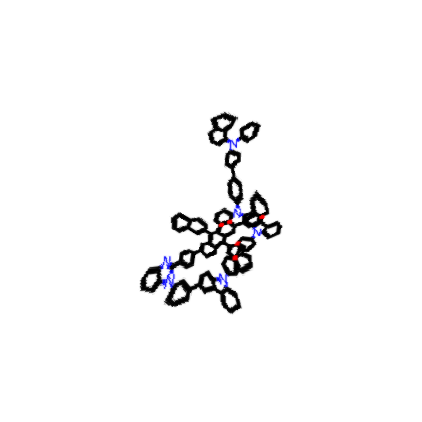 c1ccc(N(c2ccc(-c3ccc(N(c4ccccc4)c4c(-c5ccc6c(-c7ccc8ccccc8c7)c7cc(-c8ccc(-c9nc%10ccccc%10n9-c9cccc(-c%10ccc%11c(c%10)c%10ccccc%10n%11-c%10ccc(-c%11ccc(-n%12c%13ccccc%13c%13ccccc%13%12)cc%11)cc%10)c9)cc8)ccc7c(-c7ccc8ccccc8c7)c6c5)ccc5ccccc45)cc3)cc2)c2cccc3ccccc23)cc1